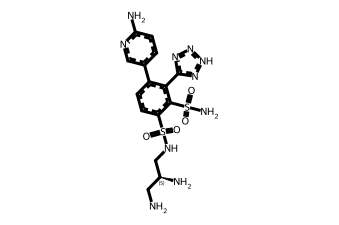 NC[C@H](N)CNS(=O)(=O)c1ccc(-c2ccc(N)nc2)c(-c2nn[nH]n2)c1S(N)(=O)=O